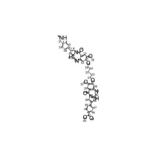 CNCc1ccc(C2=CN3C(=O)c4cc(OC)c(OCCCCCOc5cc6c(cc5OC)C(=O)N5C=C(c7ccc(C(=O)OC)cc7)C[C@H]5C=N6)cc4N=C[C@@H]3C2)cc1